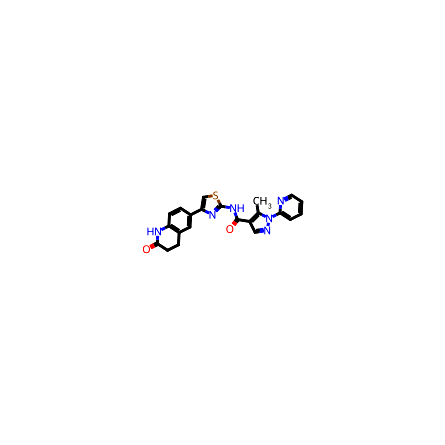 Cc1c(C(=O)Nc2nc(-c3ccc4c(c3)CCC(=O)N4)cs2)cnn1-c1ccccn1